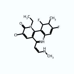 CCn1c(C2=C(F)C=C(F)C(C)C2F)c(C(=N)/C=C\NC)cc(Cl)c1=O